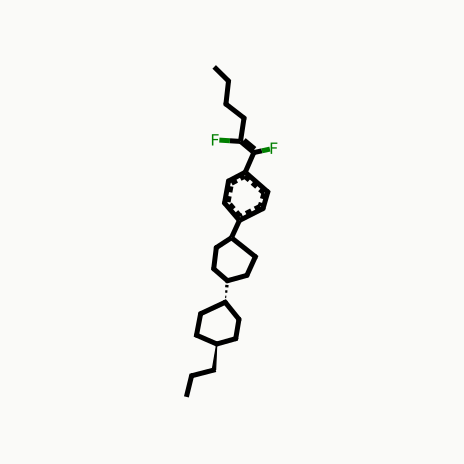 CCCC/C(F)=C(\F)c1ccc(C2CCC([C@H]3CC[C@H](CCC)CC3)CC2)cc1